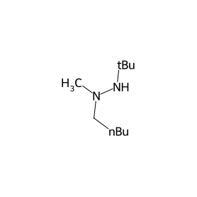 CCCCCN(C)NC(C)(C)C